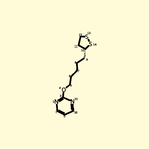 c1cnc(OCCCCC[C@@H]2CCSS2)nc1